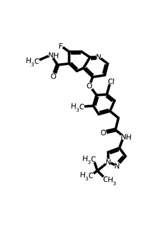 CNC(=O)c1cc2c(Oc3c(C)cc(CC(=O)Nc4cnn(C(C)(C)C)c4)cc3Cl)ccnc2cc1F